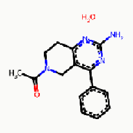 CC(=O)N1CCc2nc(N)nc(-c3ccccc3)c2C1.O